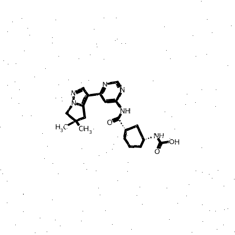 CC1(C)Cc2c(-c3cc(NC(=O)[C@H]4CCC[C@@H](NC(=O)O)C4)ncn3)cnn2C1